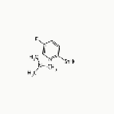 CN(C)C.Fc1cc[c]([SnH])nc1